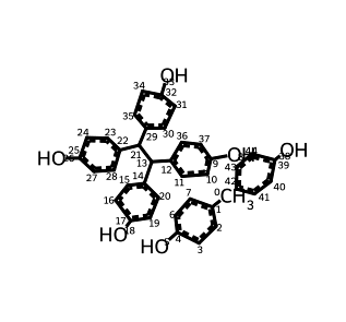 Cc1ccc(O)cc1.Oc1ccc(C(c2ccc(O)cc2)C(c2ccc(O)cc2)c2ccc(O)cc2)cc1.Oc1ccccc1